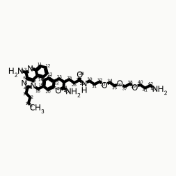 CCCCc1nc2c(N)nc3ccccc3c2n1Cc1ccc(CC(CCC(=O)NCCCOCCOCCOCCCN)C(N)=O)cc1